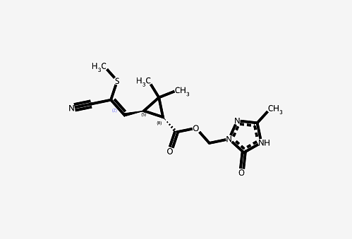 CS/C(C#N)=C\[C@@H]1[C@@H](C(=O)OCn2nc(C)[nH]c2=O)C1(C)C